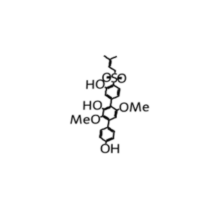 COc1cc(-c2ccc(O)cc2)c(OC)c(O)c1-c1ccc(S(=O)(=O)CC=C(C)C)c(O)c1